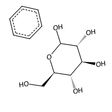 OC[C@H]1OC(O)[C@H](O)[C@@H](O)[C@@H]1O.c1ccccc1